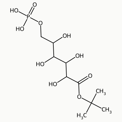 CC(C)(C)OC(=O)C(O)C(O)C(O)C(O)COP(=O)(O)O